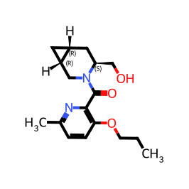 CCCOc1ccc(C)nc1C(=O)N1C[C@@H]2C[C@@H]2C[C@H]1CO